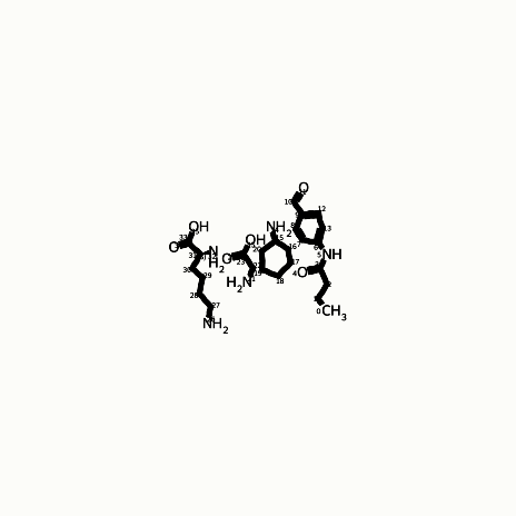 CCCC(=O)Nc1ccc(C=O)cc1.NC1CCCCC1.NCC(=O)O.NCCCC[C@H](N)C(=O)O